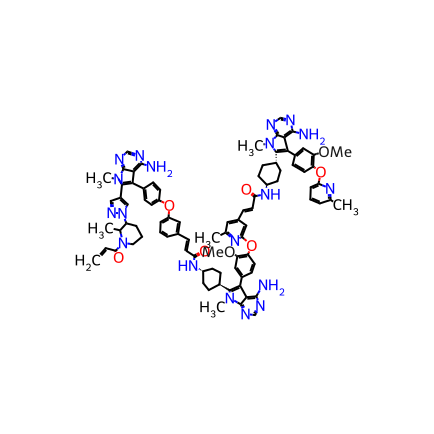 C=CC(=O)N1CCCC(n2cc(-c3c(-c4ccc(Oc5cccc(/C=C/C(=O)N[C@H]6CC[C@H](c7c(-c8ccc(Oc9cc(/C=C/C(=O)N[C@H]%10CC[C@@H](c%11c(-c%12ccc(Oc%13cccc(C)n%13)c(OC)c%12)c%12c(N)ncnc%12n%11C)CC%10)cc(C)n9)c(OC)c8)c8c(N)ncnc8n7C)CC6)c5)cc4)c4c(N)ncnc4n3C)cn2)C1C